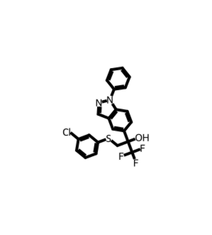 OC(CSc1cccc(Cl)c1)(c1ccc2c(cnn2-c2ccccc2)c1)C(F)(F)F